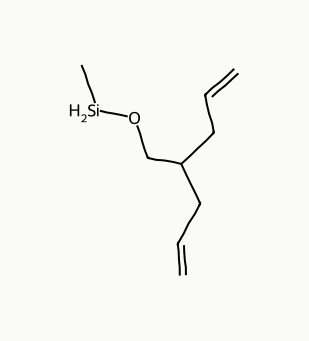 C=CCC(CC=C)CO[SiH2]C